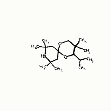 CC(C)C1OC2(CC(C)(C)NC(C)(C)C2)OCC1(C)C